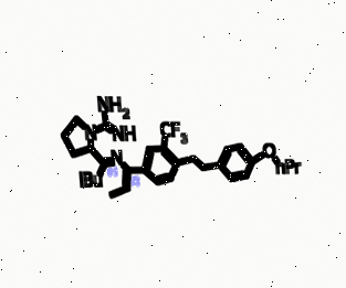 C/C=C(\N=C(/C(C)CC)C1CCCN1C(=N)N)c1ccc(CCc2ccc(OCCC)cc2)c(C(F)(F)F)c1